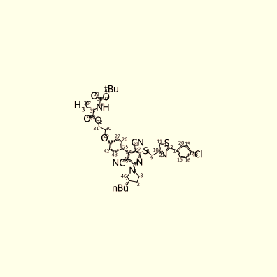 CCCCC1CCN(c2nc(SCc3csc(-c4ccc(Cl)cc4)n3)c(C#N)c(-c3ccc(OCCOC(=O)[C@H](C)NC(=O)OC(C)(C)C)cc3)c2C#N)C1